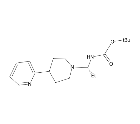 CC[C@@H](NC(=O)OC(C)(C)C)N1CCC(c2ccccn2)CC1